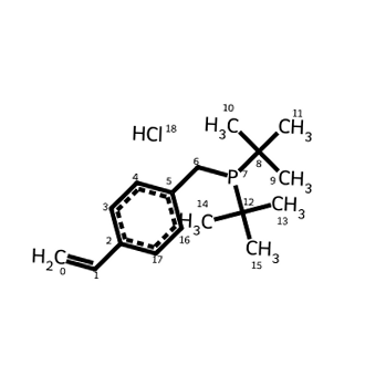 C=Cc1ccc(CP(C(C)(C)C)C(C)(C)C)cc1.Cl